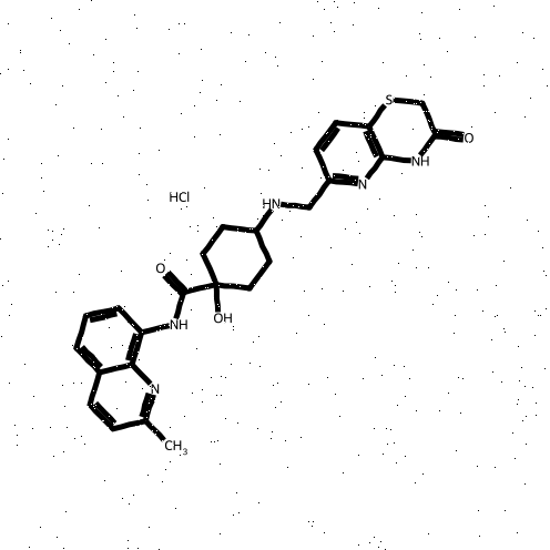 Cc1ccc2cccc(NC(=O)C3(O)CCC(NCc4ccc5c(n4)NC(=O)CS5)CC3)c2n1.Cl